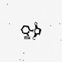 CC(C)(C)C1CCCCC1N1C(=O)C=CC1=O